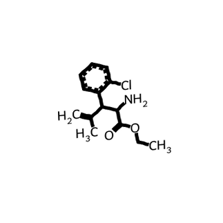 C=C(C)C(c1ccccc1Cl)C(N)C(=O)OCC